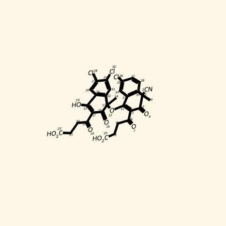 CC1(C#N)C(=O)C(C(=O)CCC(=O)O)=C(OC2(C)C(=O)C(C(=O)CCC(=O)O)=C(O)c3cc(Cl)c(Cl)cc32)c2cc(Cl)ccc21